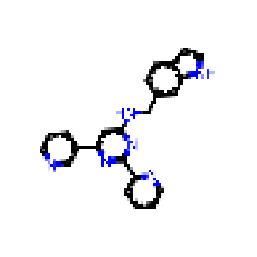 c1ccc(-c2nc(NCc3ccc4cc[nH]c4c3)cc(-c3cccnc3)n2)nc1